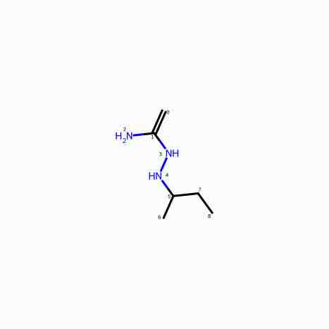 C=C(N)NNC(C)CC